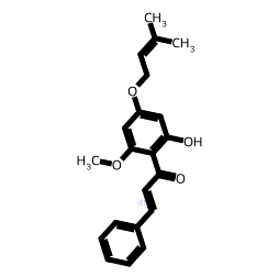 COc1cc(OCC=C(C)C)cc(O)c1C(=O)/C=C/c1ccccc1